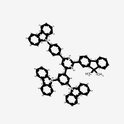 CC1(C)c2ccccc2-c2ccc(-c3nc(-c4ccc(-n5c6ccccc6c6ccccc65)cc4)cc(-c4cc(-n5c6ccccc6c6ccccc65)cc(-n5c6ccccc6c6ccccc65)c4)n3)cc21